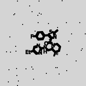 CCc1cnc(NCC2[C@H](C)CCCN2C(=O)c2nc(C)sc2-c2ccc(F)cc2)nc1